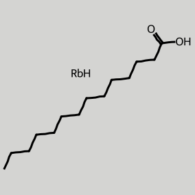 CCCCCCCCCCCCCC(=O)O.[RbH]